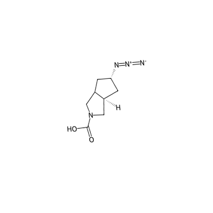 [N-]=[N+]=N[C@H]1CC2CN(C(=O)O)C[C@@H]2C1